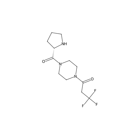 O=C(CC(F)(F)F)N1CCN(C(=O)[C@@H]2CCCN2)CC1